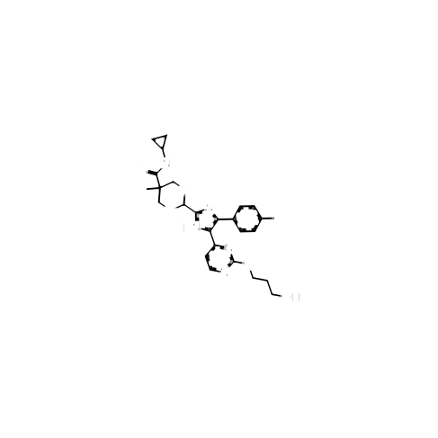 CC1(C(=O)NC2CC2)COC(c2nc(-c3ccc(F)cc3)c(-c3ccnc(OCCCO)n3)[nH]2)OC1